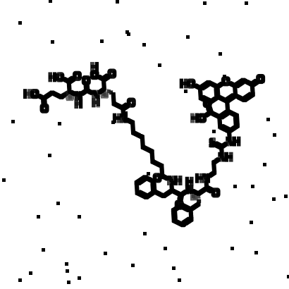 O=C(O)CC[C@H](NC(=O)N[C@@H](CCC(=O)NCCCCCCCC(=O)NC(Cc1ccccc1)C(=O)N[C@@H](Cc1ccccc1)C(=O)NCCNC(=S)Nc1ccc(-c2c3ccc(=O)cc-3oc3cc(O)ccc23)c(C(=O)O)c1)C(=O)O)C(=O)O